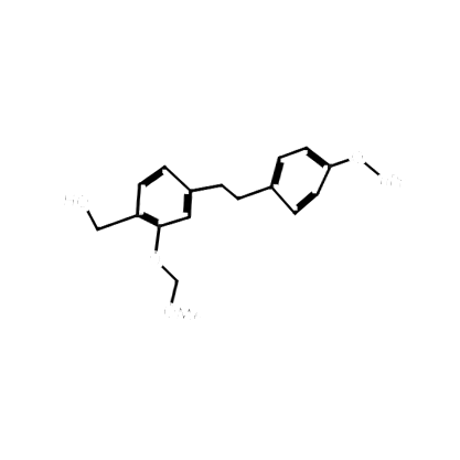 CCCOc1ccc(CCc2ccc(CO)c(OCOC)c2)cc1